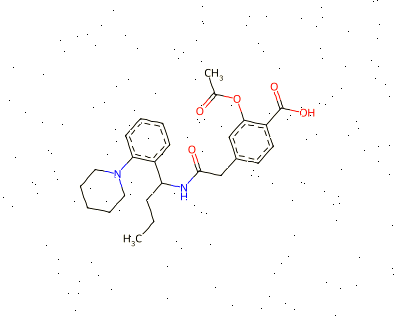 CCCC(NC(=O)Cc1ccc(C(=O)O)c(OC(C)=O)c1)c1ccccc1N1CCCCC1